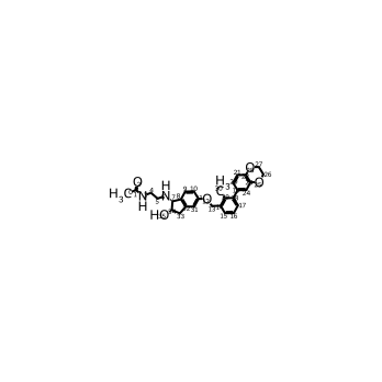 CC(=O)NCCN[C@@H]1c2ccc(OCc3cccc(-c4ccc5c(c4)OCCO5)c3C)cc2C[C@H]1O